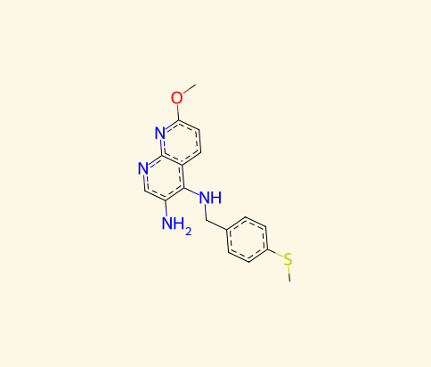 COc1ccc2c(NCc3ccc(SC)cc3)c(N)cnc2n1